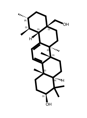 C[C@H]1[C@H](C)CC[C@]2(CO)CC[C@]3(C)C(=CC=C4[C@@]5(C)CC[C@H](O)C(C)(C)[C@@H]5CC[C@]43C)[C@H]12